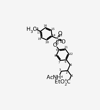 CCOC(=O)CC(CNC(C)=O)Cc1ccc(OS(=O)(=O)c2ccc(C)cc2)cc1